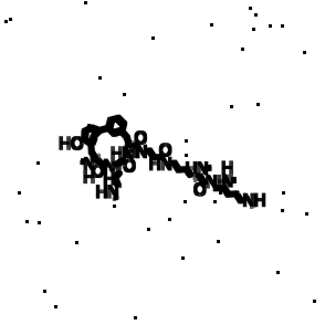 CNCCCC(CNC(=O)[C@H](CCCCNC(=O)CCNC(=O)[C@@H]1Cc2cccc(c2)-c2ccc(O)c(c2)C[C@H](NC)C(=O)N[C@@H](CCCNC)C(=O)N1)NC)NC